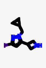 Ic1cc(C2CNC2)n(CC2CC2)n1